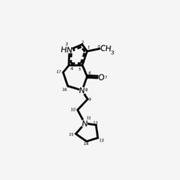 Cc1c[nH]c2c1C(=O)N(CCN1CCCC1)CC2